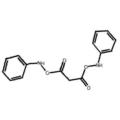 O=C(CC(=O)ONc1ccccc1)ONc1ccccc1